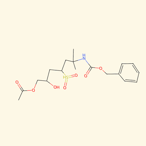 CC(=O)OCC(O)CC(CC(C)(C)NC(=O)OCc1ccccc1)[SH](=O)=O